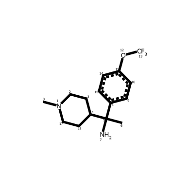 CN1CCC(C(C)(N)c2ccc(OC(F)(F)F)cc2)CC1